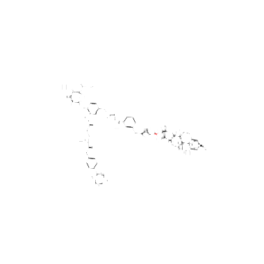 C[C@]12C=CC(=O)C=C1CC[C@@H]1[C@@H]2[C@@H](O)C[C@@]2(C)[C@H]1C[C@H]1O[C@@H](C34CC(Cc5cccc(NC(=O)OCc6ccc(O[C@@H]7O[C@H](C(=O)O)[C@@H](O)[C@H](O)[C@H]7O)c(NC(=O)CCNC(=O)Cc7ccc(-c8nncnn8)cc7)c6)c5)(C3)C4)O[C@]12C(=O)CO